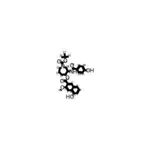 COc1cc2c(O)cccc2cc1C(=O)OC1CCCN(C(=O)OC(C)(C)C)CC1NC(=O)c1ccc(O)cc1